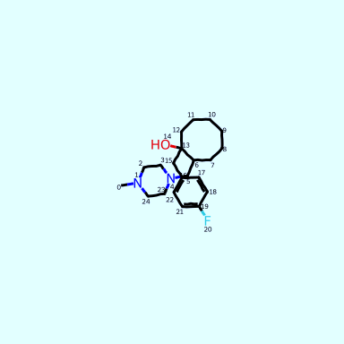 CN1CCN(CC2CCCCCCC2(O)Cc2ccc(F)cc2)CC1